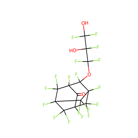 O=C1C2(F)C(F)(F)C3(F)C(F)(F)C1(F)C(F)(OC(F)(F)C(O)(F)C(O)(F)F)C(F)(C2(F)F)C3(F)F